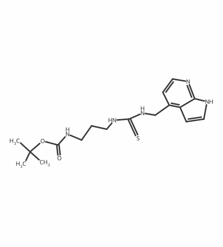 CC(C)(C)OC(=O)NCCCNC(=S)NCc1ccnc2[nH]ccc12